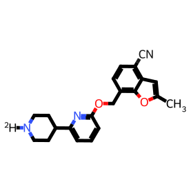 [2H]N1CCC(c2cccc(OCc3ccc(C#N)c4cc(C)oc34)n2)CC1